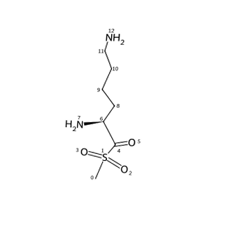 CS(=O)(=O)C(=O)[C@@H](N)CCCCN